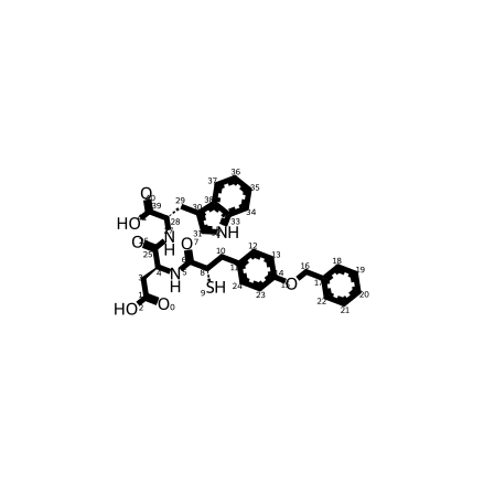 O=C(O)C[C@H](NC(=O)[C@@H](S)Cc1ccc(OCc2ccccc2)cc1)C(=O)N[C@@H](Cc1c[nH]c2ccccc12)C(=O)O